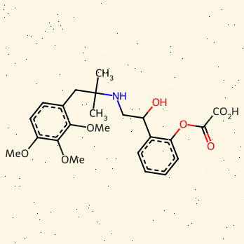 COc1ccc(CC(C)(C)NCC(O)c2ccccc2OC(=O)C(=O)O)c(OC)c1OC